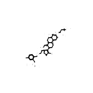 CC(C)C1=C2[C@H]3CC[C@@H]4[C@@]5(C)CC[C@H](OC(=O)CC(C)(C)C(=O)O)C(C)(C)[C@@H]5CC[C@@]4(C)[C@]3(C)CC[C@@]2([C@H](O)CNCc2ccc(Cl)cc2CN(C)C)CC1=O